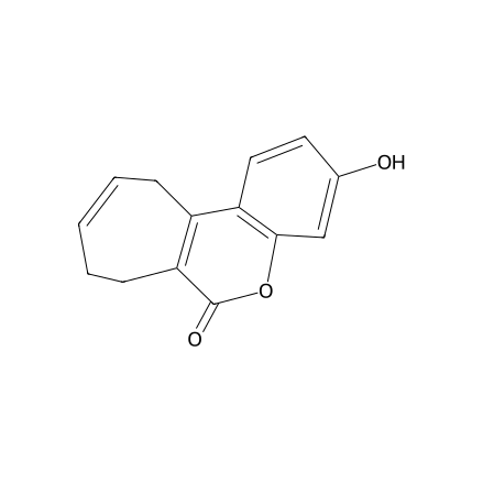 O=c1oc2cc(O)ccc2c2c1CCC=CC2